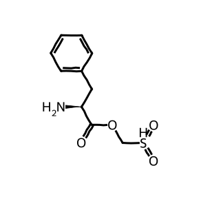 N[C@@H](Cc1ccccc1)C(=O)OC[SH](=O)=O